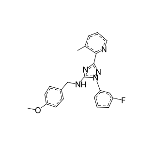 COc1ccc(CNc2nc(-c3ncccc3C)nn2-c2cccc(F)c2)cc1